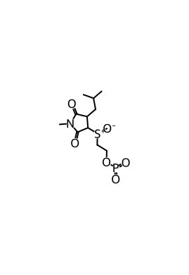 CC(C)CC1C(=O)N(C)C(=O)C1[S+]([O-])CCOP(=O)=O